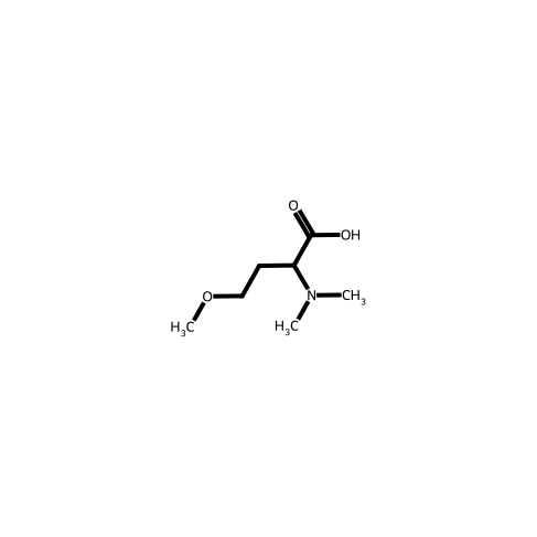 COCCC(C(=O)O)N(C)C